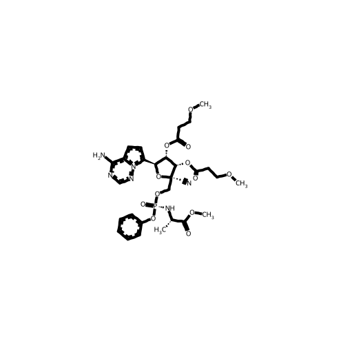 COCCC(=O)O[C@H]1[C@H](c2ccc3c(N)ncnn23)O[C@](C#N)(CO[P@@](=O)(N[C@@H](C)C(=O)OC)Oc2ccccc2)[C@H]1OC(=O)CCOC